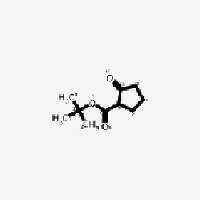 CC(C)(C)OC(=O)C1CCCC1=O